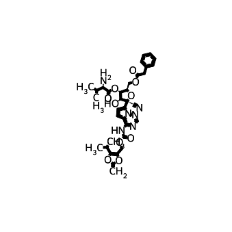 C=C1OC(COC(=O)Nc2ncnn3c([C@]4(C#N)O[C@H](COC(=O)Cc5ccccc5)[C@@H](OC(=O)[C@@H](N)C(C)C)[C@H]4O)ccc23)=C(C(C)C)O1